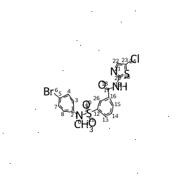 CN(c1ccc(Br)cc1)S(=O)(=O)c1cccc(C(=O)Nc2ncc(Cl)s2)c1